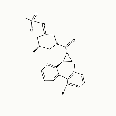 C[C@H]1C/C(=N\S(C)(=O)=O)CN(C(=O)[C@@H]2C[C@H]2c2ccccc2-c2c(F)cccc2F)C1